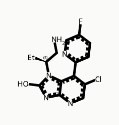 CC[C@@H](CN)n1c(O)nc2ncc(Cl)c(-c3ccc(F)cn3)c21